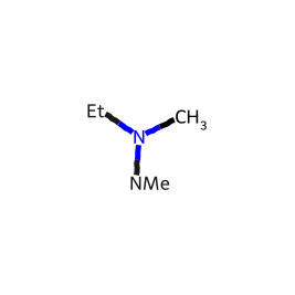 CCN(C)NC